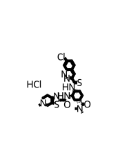 CN1CCc2nc(C(=O)N[C@@H]3C[C@@H](C(=O)N(C)C)CC[C@@H]3NC(=S)c3cc4ccc(Cl)cc4nn3)sc2C1.Cl